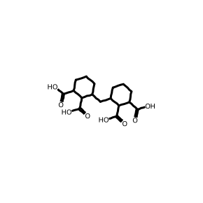 O=C(O)C1CCCC(CC2CCCC(C(=O)O)C2C(=O)O)C1C(=O)O